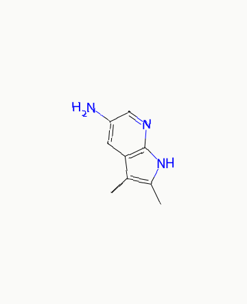 Cc1[nH]c2ncc(N)cc2c1C